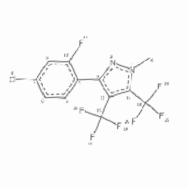 Cn1nc(-c2ccc(Cl)cc2F)c(C(F)(F)F)c1C(F)(F)F